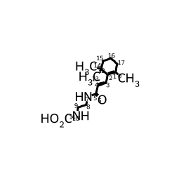 CC1=C(C=CC(=O)NCCNC(=O)O)C(C)(C)CCC1